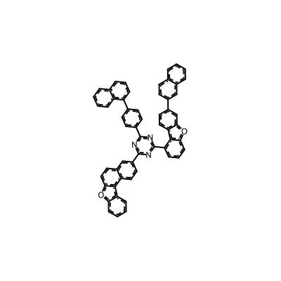 c1ccc2cc(-c3ccc4c(c3)oc3cccc(-c5nc(-c6ccc(-c7cccc8ccccc78)cc6)nc(-c6ccc7c(ccc8oc9ccccc9c87)c6)n5)c34)ccc2c1